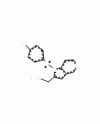 NCc1cc2cnccc2n1S(=O)(=O)c1ccc(Br)cc1